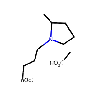 CC(=O)O.CCCCCCCCCCCN1CCCC1C